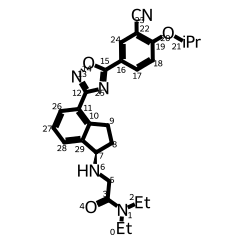 CCN(CC)C(=O)CN[C@@H]1CCc2c(-c3noc(-c4ccc(OC(C)C)c(C#N)c4)n3)cccc21